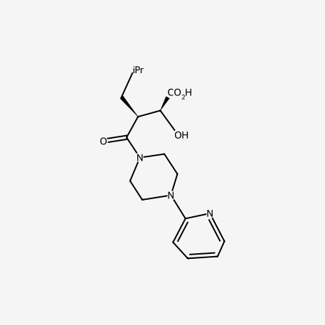 CC(C)C[C@H](C(=O)N1CCN(c2ccccn2)CC1)[C@H](O)C(=O)O